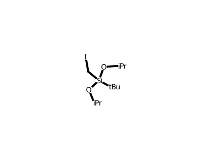 CC(C)O[Si](CI)(OC(C)C)C(C)(C)C